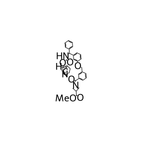 COC(=O)C1CN(C(=O)c2cccc(COc3cccc([C@@H](NC(=O)O[C@H]4CN5CCC4CC5)c4ccccc4)c3)c2)C1